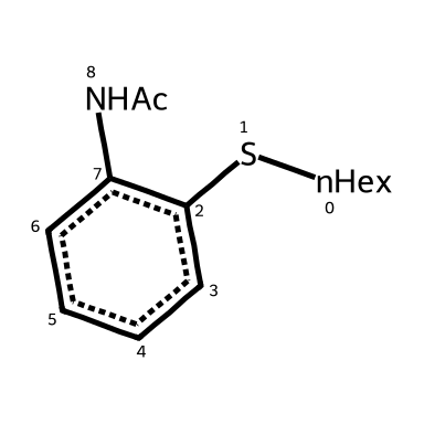 CCCCCCSc1ccccc1NC(C)=O